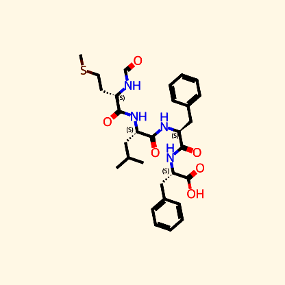 CSCC[C@H](NC=O)C(=O)N[C@@H](CC(C)C)C(=O)N[C@@H](Cc1ccccc1)C(=O)N[C@@H](Cc1ccccc1)C(=O)O